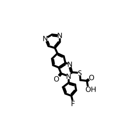 O=C(O)CSc1nc2cc(-c3cncnc3)ccc2c(=O)n1-c1ccc(F)cc1